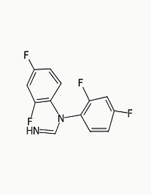 N=CN(c1ccc(F)cc1F)c1ccc(F)cc1F